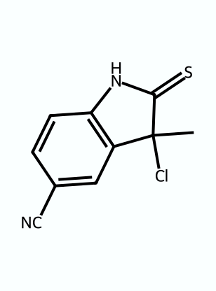 CC1(Cl)C(=S)Nc2ccc(C#N)cc21